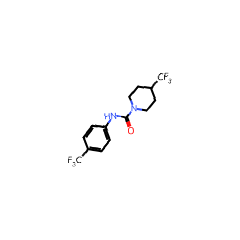 O=C(Nc1ccc(C(F)(F)F)cc1)N1CCC(C(F)(F)F)CC1